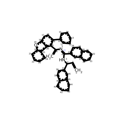 C=CC(N/C(=N\C(=C)c1c(-c2ccccc2)ccc2oc3ccccc3c12)c1ccc2ccccc2c1)c1ccc2ccccc2c1